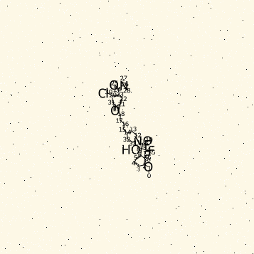 COc1cccc(C(O)(C(=O)N2CCC(CCCCOc3ccc(C(=O)N(C)C)c(Cl)c3)CC2)C(F)(F)F)c1